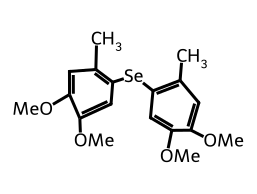 COc1cc(C)c([Se]c2cc(OC)c(OC)cc2C)cc1OC